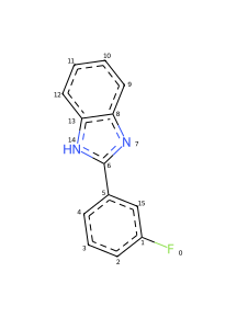 Fc1cccc(-c2nc3ccccc3[nH]2)c1